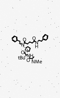 CN[C@@H](C)C(=O)N[C@H](C(=O)N1CCC[C@H]1CN(CCc1ccccc1)C(=O)CCCC(=O)NCCc1ccccc1)C(C)(C)C